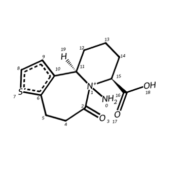 N[N+]12C(=O)CCc3sccc3[C@H]1CCC[C@H]2C(=O)O